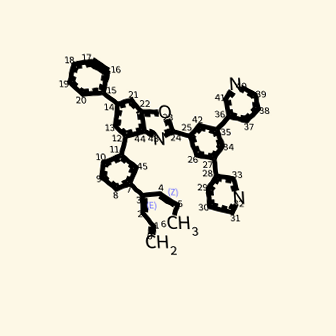 C=C/C=C(\C=C/C)c1cccc(-c2cc(-c3c#cccc3)cc3oc(-c4cc(-c5cccnc5)cc(-c5cccnc5)c4)nc23)c1